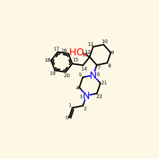 C=CCN1CCN(C2CCCCC2(O)Cc2ccccc2)CC1